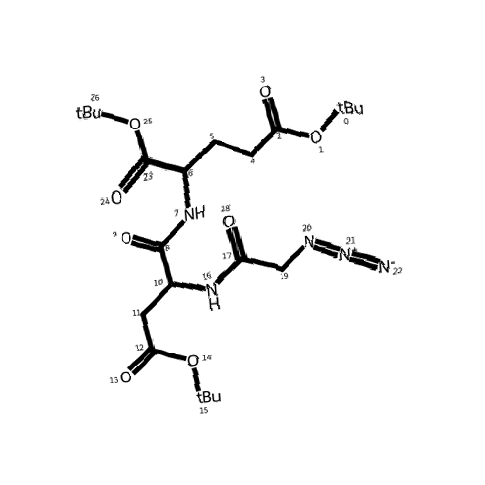 CC(C)(C)OC(=O)CCC(NC(=O)C(CC(=O)OC(C)(C)C)NC(=O)CN=[N+]=[N-])C(=O)OC(C)(C)C